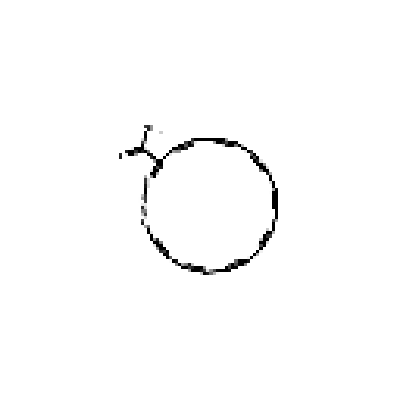 NC(=O)c1cccccccccccccccco[nH]n1